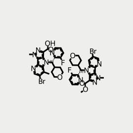 COC(=O)c1nn(C)c2c3ncc(Br)cc3n([C@H](c3ncccc3F)C3CCOCC3)c12.Cc1c(Br)cnc2c3c(c(C(=O)O)nn3C)n([C@H](c3ncccc3F)C3CCOCC3)c12